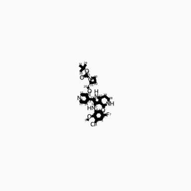 COc1c(Cl)cc(F)cc1Nc1c(-c2ccncc2OC[C@H]2CCN2C(=O)OC(C)(C)C)[nH]c2c1C(=O)NCC2